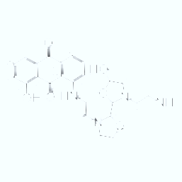 [NH]CCN1CC(O)OC1C1OCCN1CCNc1cc[c]c2c1C(=O)c1c(O)cccc1C2=O